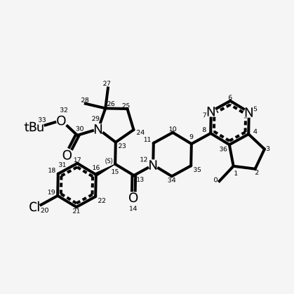 CC1CCc2ncnc(C3CCN(C(=O)[C@@H](c4ccc(Cl)cc4)C4CCC(C)(C)N4C(=O)OC(C)(C)C)CC3)c21